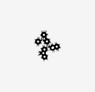 CC1(C)c2ccccc2-c2cc(N(C3=Cc4ccccc4CC3)c3ccc4c5ccccc5n(-c5ccccc5)c4c3)ccc21